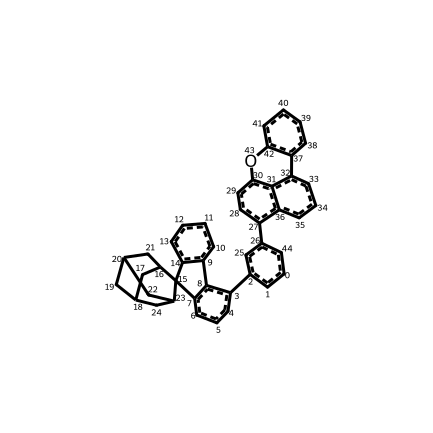 c1cc(-c2cccc3c2-c2ccccc2C32C3CC4CC(C3)CC2C4)cc(-c2ccc3c4c(cccc24)-c2ccccc2O3)c1